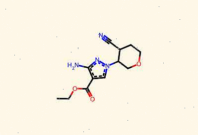 CCOC(=O)c1cn(C2COCCC2C#N)nc1N